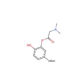 CCCCCCCCCc1ccc(O)c(OC(=O)CN(C)C)c1